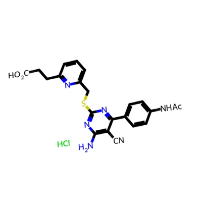 CC(=O)Nc1ccc(-c2nc(SCc3cccc(CCC(=O)O)n3)nc(N)c2C#N)cc1.Cl